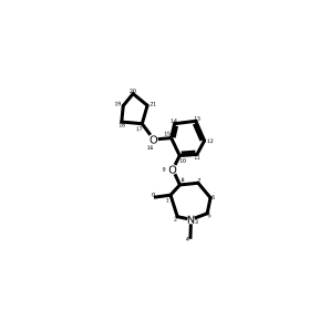 CC1CN(C)CCCC1Oc1ccccc1OC1CCCC1